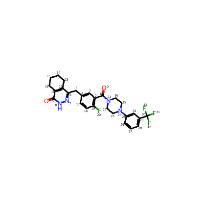 O=C(c1cc(Cc2n[nH]c(=O)c3c2CCCC3)ccc1F)N1CCN(c2cccc(C(F)(F)F)c2)CC1